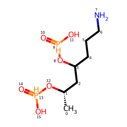 C[C@@H](CC(CCCN)O[PH](=O)O)O[PH](=O)O